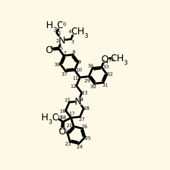 CCN(CC)C(=O)c1ccc(C(CCN2CCC(C(C)=O)(c3ccccc3)CC2)c2cccc(OC)c2)cc1